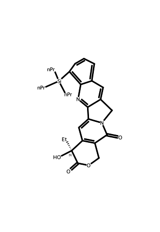 CCC[Si](CCC)(CCC)c1cccc2cc3c(nc12)-c1cc2c(c(=O)n1C3)COC(=O)[C@]2(O)CC